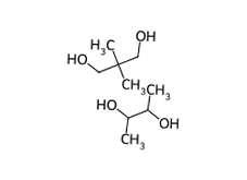 CC(C)(CO)CO.CC(O)C(C)O